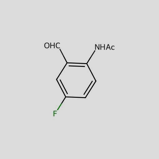 CC(=O)Nc1ccc(F)cc1C=O